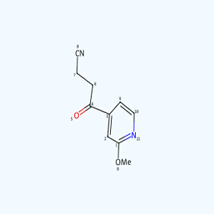 COc1cc(C(=O)CCC#N)ccn1